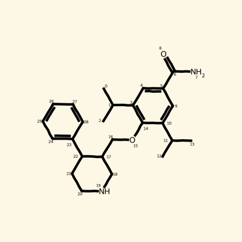 CC(C)c1cc(C(N)=O)cc(C(C)C)c1OCC1CNCCC1c1ccccc1